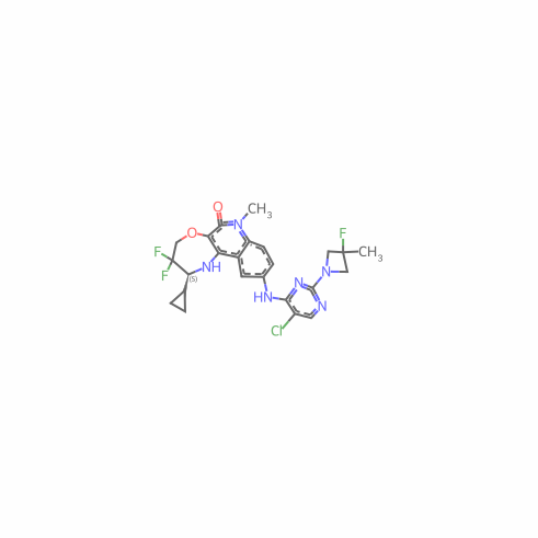 Cn1c(=O)c2c(c3cc(Nc4nc(N5CC(C)(F)C5)ncc4Cl)ccc31)N[C@@H](C1CC1)C(F)(F)CO2